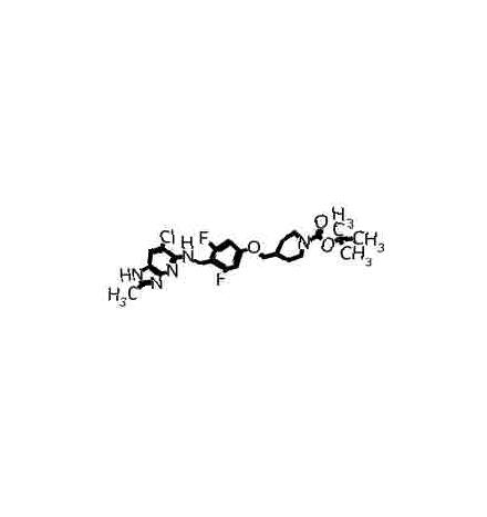 Cc1nc2nc(NCc3c(F)cc(OCC4CCN(C(=O)OC(C)(C)C)CC4)cc3F)c(Cl)cc2[nH]1